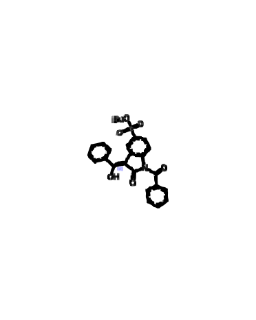 CC(C)COS(=O)(=O)c1ccc2c(c1)/C(=C(/O)c1ccccc1)C(=O)N2C(=O)c1ccccc1